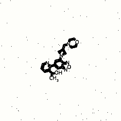 CC(O)c1cccnc1-c1cc(N2CC(CN3CCOCC3)C2)c2nonc2c1